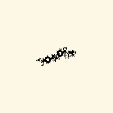 CNC(=O)c1ccc(-c2cn3c(n2)sc2cc(C(=O)NCC4(O)COC4)ccc23)cc1